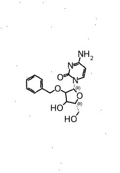 Nc1ccn([C@@H]2O[C@H](CO)C(O)C2OCc2ccccc2)c(=O)n1